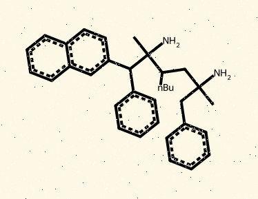 CCCC[C](CC(C)(N)Cc1ccccc1)C(C)(N)C(c1ccccc1)c1ccc2ccccc2c1